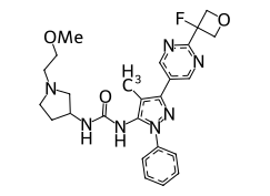 COCCN1CCC(NC(=O)Nc2c(C)c(-c3cnc(C4(F)COC4)nc3)nn2-c2ccccc2)C1